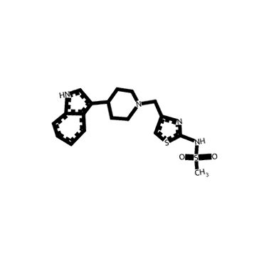 CS(=O)(=O)Nc1nc(CN2CCC(c3c[nH]c4ccccc34)CC2)cs1